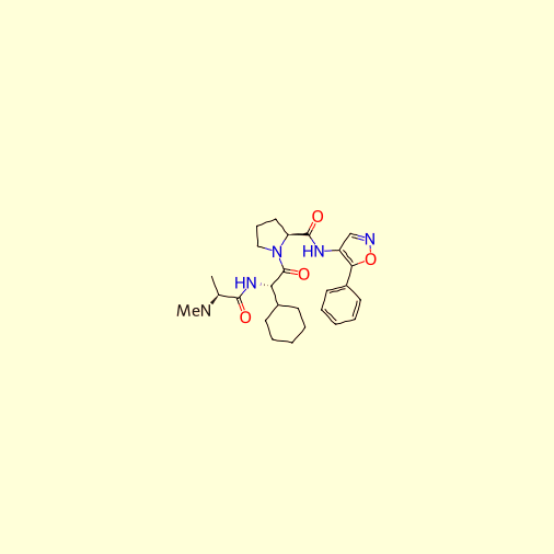 CN[C@@H](C)C(=O)N[C@H](C(=O)N1CCC[C@H]1C(=O)Nc1cnoc1-c1ccccc1)C1CCCCC1